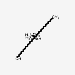 Br.CCCCCCCCCCCCCCCCC(CCCCCCCCCCCCCCCCO)C(C)(C)N